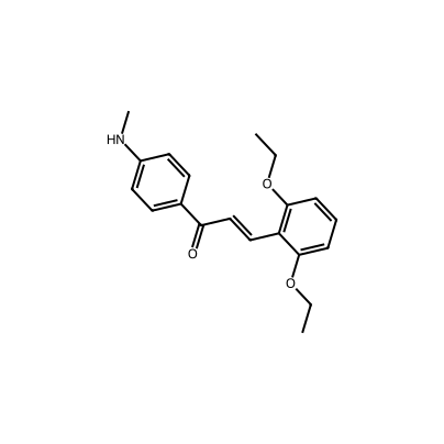 CCOc1cccc(OCC)c1C=CC(=O)c1ccc(NC)cc1